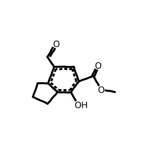 COC(=O)c1cc(C=O)c2c(c1O)CCC2